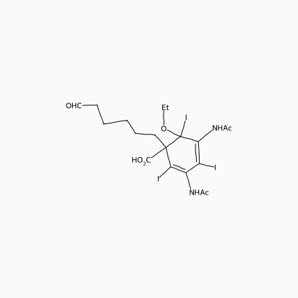 CCOC1(I)C(NC(C)=O)=C(I)C(NC(C)=O)=C(I)C1(CCCCCC=O)C(=O)O